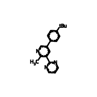 Cc1ncc(-c2ccc(C(C)(C)C)cc2)cc1-c1ncccn1